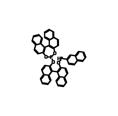 c1ccc2cc(POc3ccc4ccccc4c3-c3c(Op4oc5ccc6ccccc6c5c5c(ccc6ccccc65)o4)ccc4ccccc34)ccc2c1